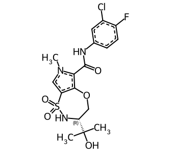 Cn1cc2c(c1C(=O)Nc1ccc(F)c(Cl)c1)OC[C@H](C(C)(C)O)NS2(=O)=O